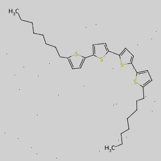 CCCCCCCCc1ccc(-c2ccc(-c3ccc(-c4ccc(CCCCCCCC)s4)s3)s2)s1